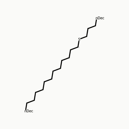 CCCCCCCCCCCCCCCCCCCCC[CH]SCCCCCCCCCCCCC